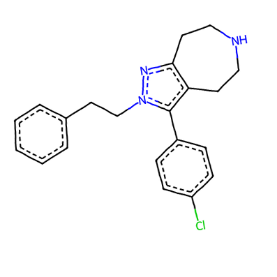 Clc1ccc(-c2c3c(nn2CCc2ccccc2)CCNCC3)cc1